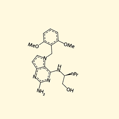 CCC[C@@H](CO)Nc1nc(N)nc2ccn(Cc3c(OC)cccc3OC)c12